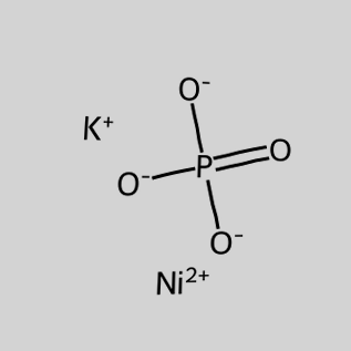 O=P([O-])([O-])[O-].[K+].[Ni+2]